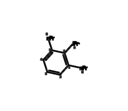 CCCc1cccc(CCC)c1[C](C)C